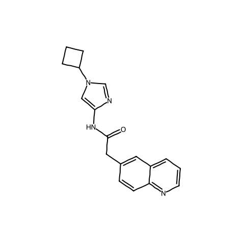 O=C(Cc1ccc2ncccc2c1)Nc1cn(C2CCC2)cn1